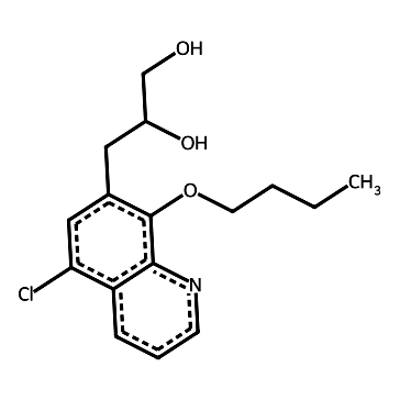 CCCCOc1c(CC(O)CO)cc(Cl)c2cccnc12